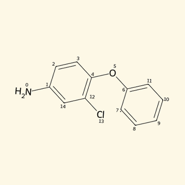 Nc1ccc(Oc2[c]cccc2)c(Cl)c1